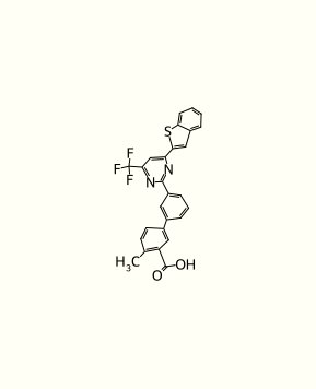 Cc1ccc(-c2cccc(-c3nc(-c4cc5ccccc5s4)cc(C(F)(F)F)n3)c2)cc1C(=O)O